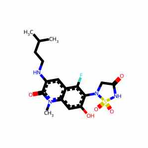 CC(C)CCNc1cc2c(F)c(N3CC(=O)NS3(=O)=O)c(O)cc2n(C)c1=O